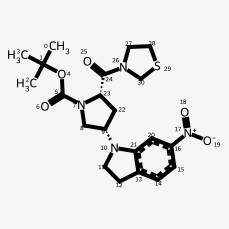 CC(C)(C)OC(=O)N1C[C@@H](N2CCc3ccc([N+](=O)[O-])cc32)C[C@H]1C(=O)N1CCSC1